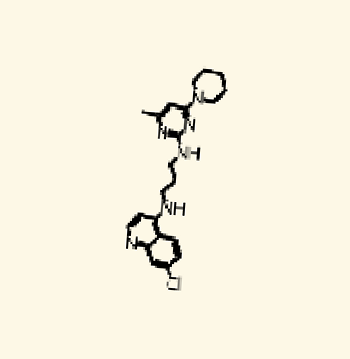 Cc1cc(N2CCCCC2)nc(NCCCNc2ccnc3cc(Cl)ccc23)n1